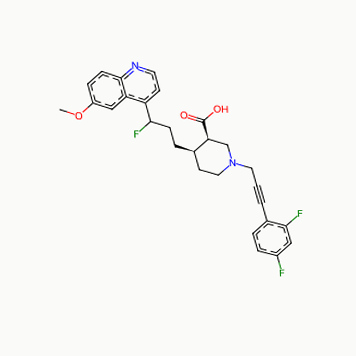 COc1ccc2nccc(C(F)CC[C@@H]3CCN(CC#Cc4ccc(F)cc4F)C[C@@H]3C(=O)O)c2c1